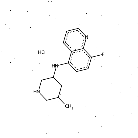 CC1CNCC(Nc2ccc(F)c3ncccc23)C1.Cl